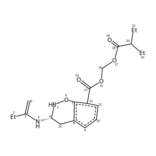 C=C(CC)N[C@@H]1BOc2c(cccc2C(=O)OCOC(=O)C(CC)CC)C1